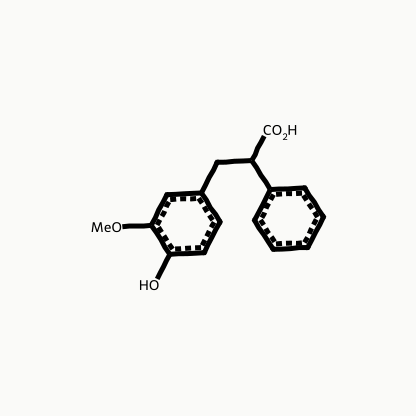 COc1cc(CC(C(=O)O)c2ccccc2)ccc1O